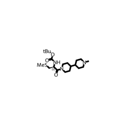 CSC[C@@H](NC(=O)OC(C)(C)C)C(=O)N1CCC(C2CCN(C)CC2)CC1